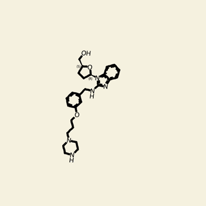 OC[C@@H]1CC[C@H](n2c(NCc3cccc(OCCCN4CCNCC4)c3)nc3ccccc32)O1